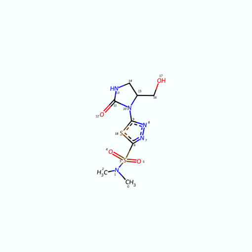 CN(C)S(=O)(=O)c1nnc(N2C(=O)NCC2CO)s1